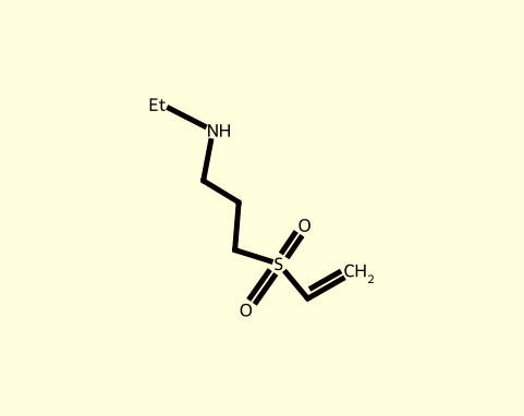 C=CS(=O)(=O)CCCNCC